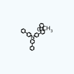 CC12CC=CC=C1Oc1c(-c3ccc(N(c4ccc(-c5ccccc5)cc4)c4ccc(-c5ccccc5)cc4)cc3)cccc12